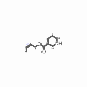 C/C=C\COC(=O)C1CCCNC1